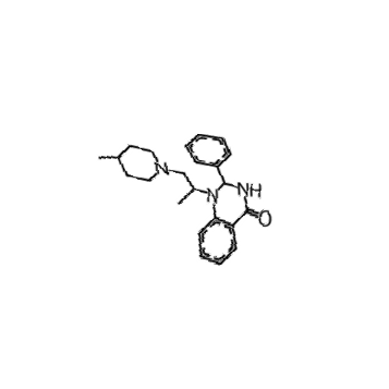 CC1CCN(CC(C)N2c3ccccc3C(=O)NC2c2ccccc2)CC1